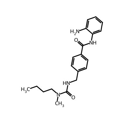 CCCCN(C)C(=O)NCc1ccc(C(=O)Nc2ccccc2N)cc1